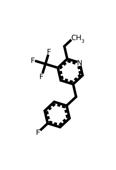 CCc1ncc(Cc2ccc(F)cc2)cc1C(F)(F)F